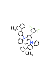 Cc1ccccc1-c1ccc2c3ccccc3n(-c3cc(-c4cc(F)cc(F)c4)cc(-n4c5ccccc5c5ccc(-c6ccccc6C)cc54)c3C(F)(F)F)c2c1